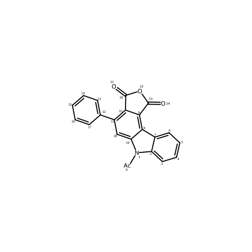 CC(=O)n1c2ccccc2c2c3c(c(-c4ccccc4)cc21)C(=O)OC3=O